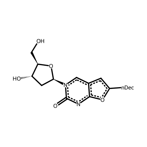 CCCCCCCCCCc1cc2cn([C@H]3C[C@H](O)[C@@H](CO)O3)c(=O)nc2o1